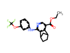 CCOC(=O)c1cnc(Nc2cccc(OC(F)(F)F)c2)c2c1C1CCC2C1